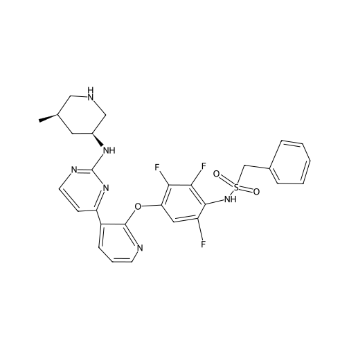 C[C@H]1CNC[C@@H](Nc2nccc(-c3cccnc3Oc3cc(F)c(NS(=O)(=O)Cc4ccccc4)c(F)c3F)n2)C1